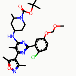 COCOc1ccc(Cl)c(-c2nc(NC3CCN(C(=O)OC(C)(C)C)C(C)C3)c(C)c(-c3c(C)noc3C)n2)c1